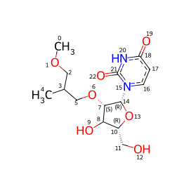 COCC(C)CO[C@H]1C(O)[C@@H](CO)O[C@H]1n1ccc(=O)[nH]c1=O